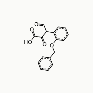 O=CC(C(=O)C(=O)O)c1ccccc1OCc1ccccc1